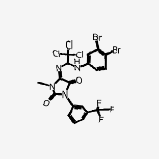 CN1C(=O)N(c2cccc(C(F)(F)F)c2)C(=O)C1=NC(Nc1ccc(Br)c(Br)c1)C(Cl)(Cl)Cl